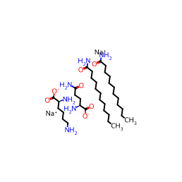 CCCCCCCCCCCC(N)=O.CCCCCCCCCCCC(N)=O.NC(=O)CC[C@H](N)C(=O)[O-].NCCCC[C@H](N)C(=O)[O-].[Na+].[Na+]